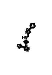 c1ccc(-c2cc(CN[C@H]3C[C@H](n4nncc4C4COC4)C3)no2)cc1